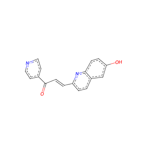 O=C(C=Cc1ccc2cc(O)ccc2n1)c1ccncc1